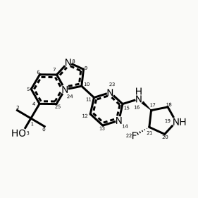 CC(C)(O)c1ccc2ncc(-c3ccnc(N[C@H]4CNC[C@@H]4F)n3)n2c1